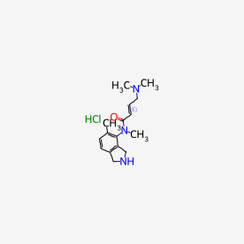 Cc1ccc2c(c1N(C)C(=O)/C=C/CN(C)C)CNC2.Cl